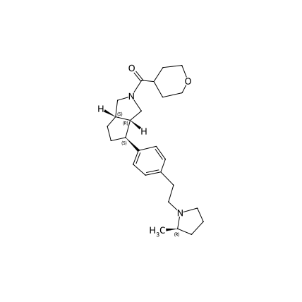 C[C@@H]1CCCN1CCc1ccc([C@H]2CC[C@@H]3CN(C(=O)C4CCOCC4)C[C@@H]32)cc1